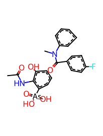 CC(=O)Nc1c(O)cccc1[As](=O)(O)O.CN(C(=O)c1ccc(F)cc1)c1ccccc1